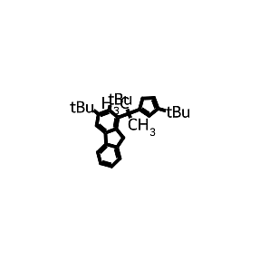 CC(C)(C)C1=CCC(C(C)(C)c2c3c(cc(C(C)(C)C)c2C(C)(C)C)-c2ccccc2C3)=C1